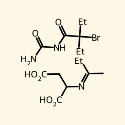 CC/C(C)=N\C(CC(=O)O)C(=O)O.CCC(Br)(CC)C(=O)NC(N)=O